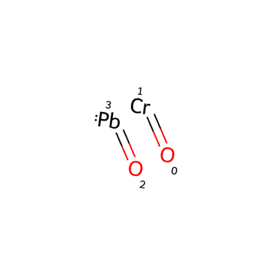 [O]=[Cr].[O]=[Pb]